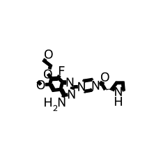 COCCOc1c(OC)cc2c(N)nc(N3CCN(C(=O)C[C@@H]4CCCN4)CC3)nc2c1F